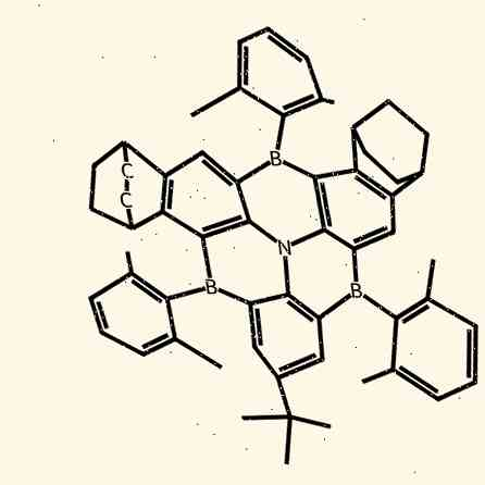 Cc1cccc(C)c1B1c2cc(C(C)(C)C)cc3c2N2c4c(cc5c(c4B3c3c(C)cccc3C)C3CCC5CC3)B(c3c(C)cccc3C)c3c4c(cc1c32)C1CCC4CC1